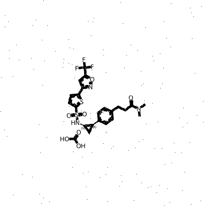 CN(C)C(=O)CCc1ccc([C@H]2C[C@@H]2NS(=O)(=O)c2ccc(-c3cc(C(F)(F)F)on3)s2)cc1.O=C(O)O